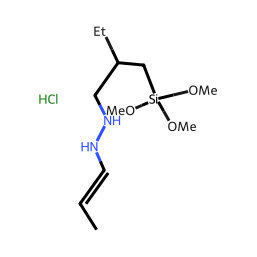 CC=CNNCC(CC)C[Si](OC)(OC)OC.Cl